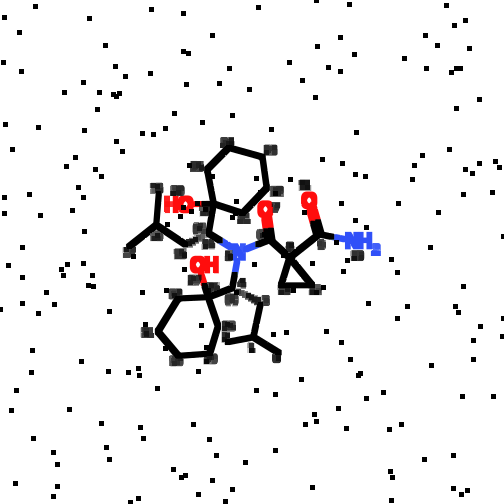 CC(C)C[C@@H](N(C(=O)C1(C(N)=O)CC1)[C@H](CC(C)C)C1(O)CCCCC1)C1(O)CCCCC1